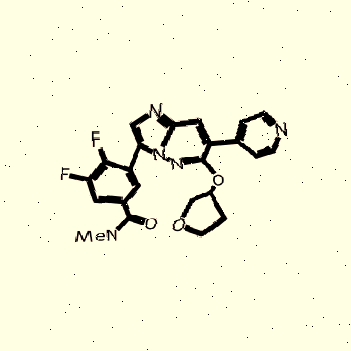 CNC(=O)c1cc(F)c(F)c(-c2cnc3cc(-c4ccncc4)c(OC4CCOC4)nn23)c1